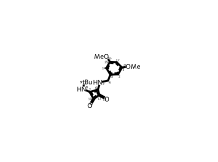 COc1cc(CNc2c(NC(C)(C)C)c(=O)c2=O)cc(OC)c1